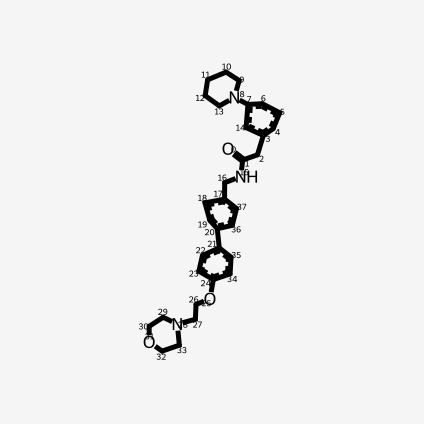 O=C(Cc1cccc(N2CCCCC2)c1)NCc1ccc(-c2ccc(OCCN3CCOCC3)cc2)cc1